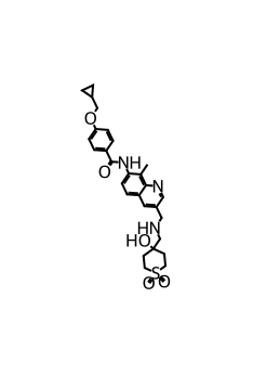 Cc1c(NC(=O)c2ccc(OCC3CC3)cc2)ccc2cc(CNCC3(O)CCS(=O)(=O)CC3)cnc12